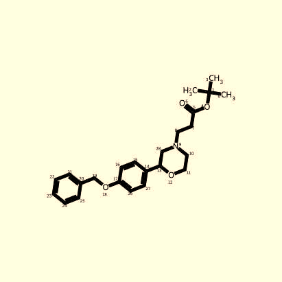 CC(C)(C)OC(=O)CCN1CCOC(c2ccc(OCc3ccccc3)cc2)C1